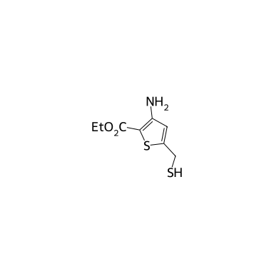 CCOC(=O)c1sc(CS)cc1N